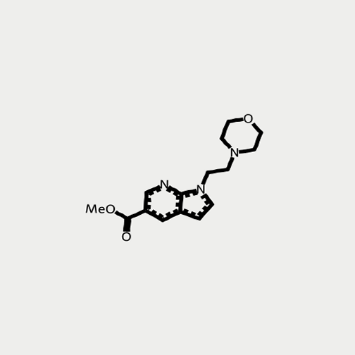 COC(=O)c1cnc2c(ccn2CCN2CCOCC2)c1